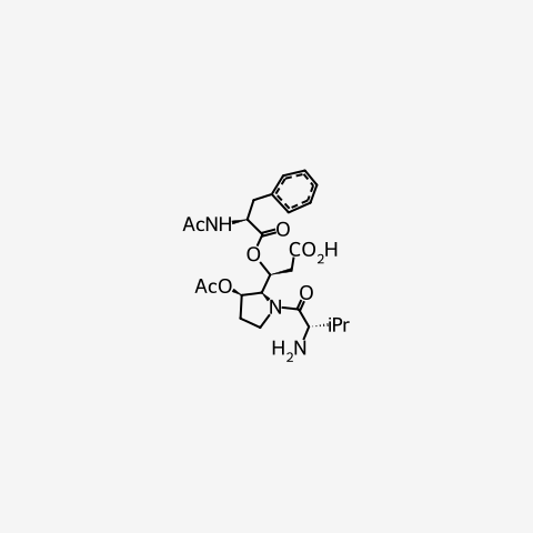 CC(=O)N[C@@H](Cc1ccccc1)C(=O)O[C@@H](CC(=O)O)[C@@H]1[C@H](OC(C)=O)CCN1C(=O)[C@@H](N)C(C)C